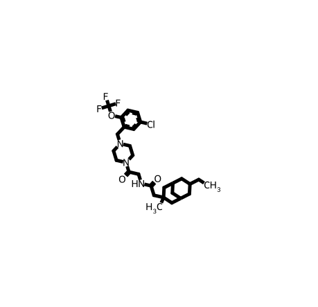 CCC1CC2CC(C1)CC(C)(CC(=O)NCC(=O)N1CCN(Cc3cc(Cl)ccc3OC(F)(F)F)CC1)C2